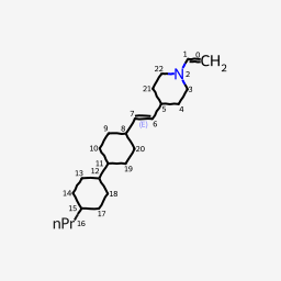 C=CN1CCC(/C=C/C2CCC(C3CCC(CCC)CC3)CC2)CC1